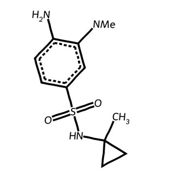 CNc1cc(S(=O)(=O)NC2(C)CC2)ccc1N